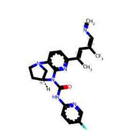 C=N/C=C(\C=C(/C)c1ccc2c(n1)N(C(=O)Nc1ccc(F)cn1)[C@H]1CCN2C1)C(F)(F)F